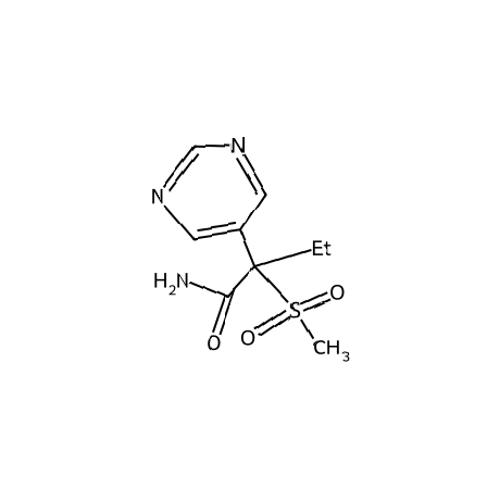 CCC(C(N)=O)(c1cncnc1)S(C)(=O)=O